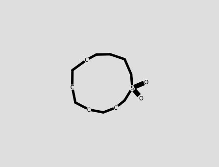 O=S1(=O)CCCCCCCCCCCC1